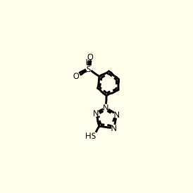 O=[SH](=O)c1cccc(-n2nnc(S)n2)c1